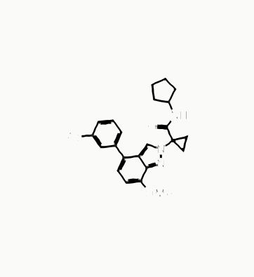 COc1ccc(-c2cccc(C(C)=O)c2)c2cn(C3(C(=O)NC4CCCC4)CC3)nc12